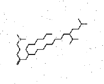 C=C(CCCN(C)C)CC(CCCCCCC)CCCCCCCCC(CCC(C)C)C(C)C